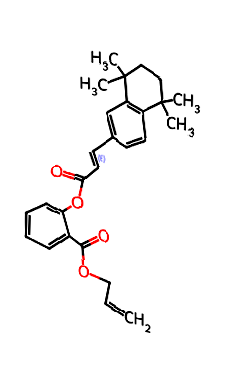 C=CCOC(=O)c1ccccc1OC(=O)/C=C/c1ccc2c(c1)C(C)(C)CCC2(C)C